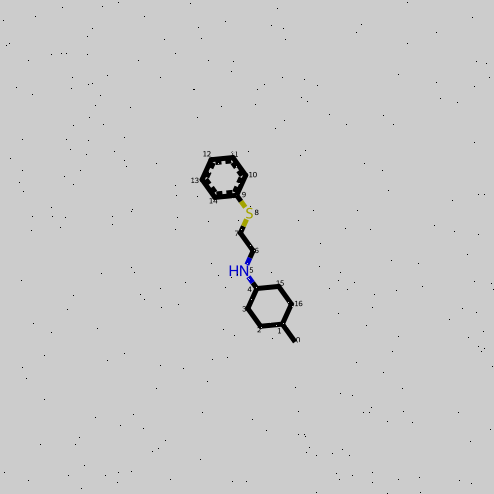 CC1CCC(NCCSc2ccccc2)CC1